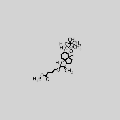 C=C(COCCCC(=O)OC)[C@H]1CC[C@H]2[C@@H](O[Si](C)(C)C(C)(C)C)CCC[C@]12C